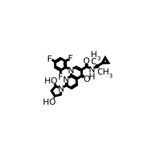 CC(C)(NC(=O)c1cn(-c2c(F)cc(F)cc2F)c2nc(N3C[C@@H](O)CC3O)ccc2c1=O)C1CC1